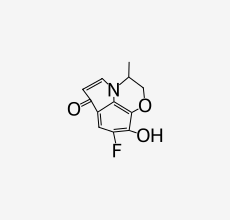 CC1COc2c(O)c(F)cc3c(=O)ccn1c23